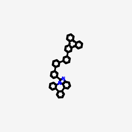 c1cc(-c2cccc(-c3ccc4c5ccccc5c5ccccc5c4c3)c2)cc(-c2cccc(-c3nc4cccc5c4n3-c3ccccc3-c3ccccc3-5)c2)c1